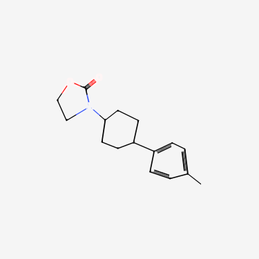 Cc1ccc(C2CCC(N3CCOC3=O)CC2)cc1